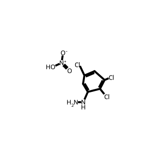 NNc1cc(Cl)cc(Cl)c1Cl.O=[N+]([O-])O